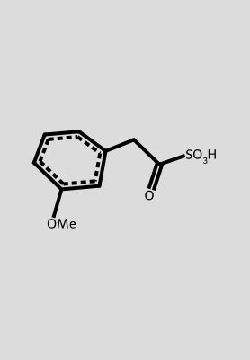 COc1cccc(CC(=O)S(=O)(=O)O)c1